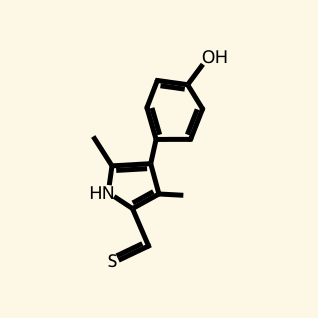 Cc1[nH]c(C=S)c(C)c1-c1ccc(O)cc1